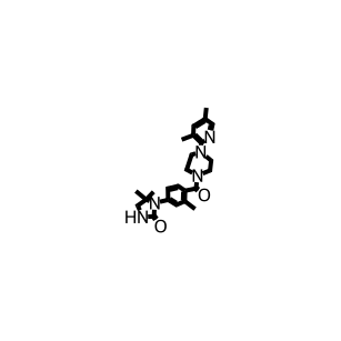 Cc1cnc(N2CCN(C(=O)c3ccc(N4C(=O)NCC4(C)C)cc3C)CC2)c(C)c1